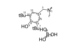 CN(C)Cc1cc(C(C)(C)C)c(O)c(C(C)(C)C)c1.OB(O)O